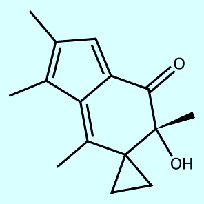 CC1=C(C)C2=C(C)C3(CC3)[C@@](C)(O)C(=O)C2=C1